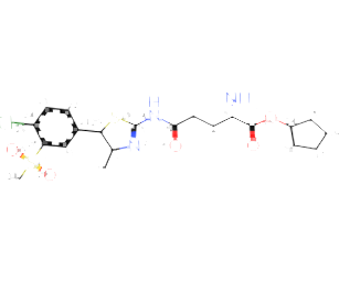 CC1N=C(NC(=O)CC[C@H](N)C(=O)OC2CCCC2)SC1c1ccc(Cl)c(S(C)(=O)=O)c1